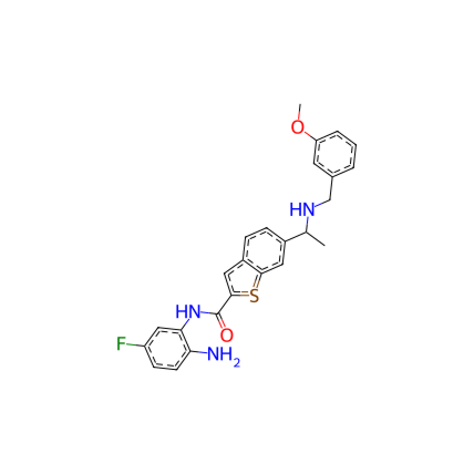 COc1cccc(CNC(C)c2ccc3cc(C(=O)Nc4cc(F)ccc4N)sc3c2)c1